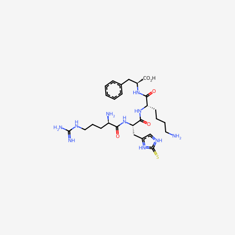 N=C(N)NCCC[C@@H](N)C(=O)N[C@@H](Cc1c[nH]c(=S)[nH]1)C(=O)N[C@@H](CCCCN)C(=O)N[C@@H](Cc1ccccc1)C(=O)O